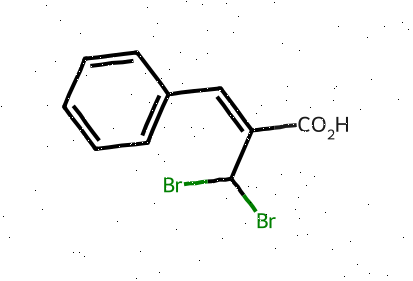 O=C(O)C(=Cc1ccccc1)C(Br)Br